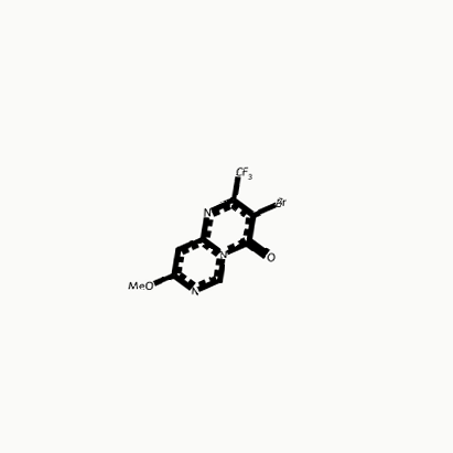 COc1cc2nc(C(F)(F)F)c(Br)c(=O)n2cn1